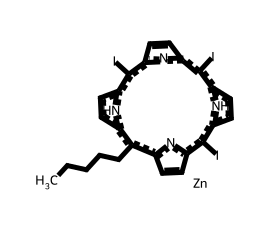 CCCCCc1c2nc(c(I)c3ccc([nH]3)c(I)c3nc(c(I)c4ccc1[nH]4)C=C3)C=C2.[Zn]